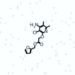 Cc1nc(OCC(=O)OCc2ccco2)c(Cl)c(N)c1C